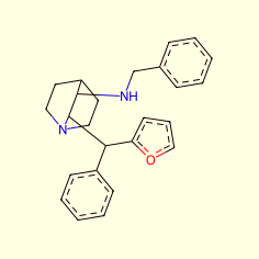 c1ccc(CNC2C3CCN(CC3)C2C(c2ccccc2)c2ccco2)cc1